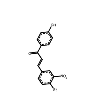 CCc1ccc(C=CC(=O)c2ccc(O)cc2)cc1[N+](=O)[O-]